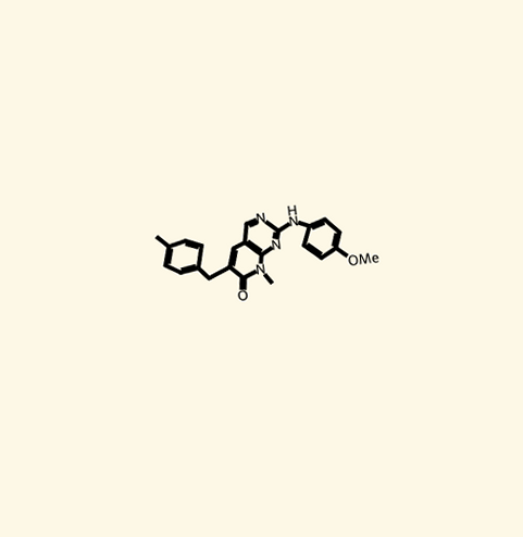 COc1ccc(Nc2ncc3cc(Cc4ccc(C)cc4)c(=O)n(C)c3n2)cc1